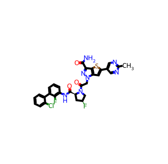 Cc1ncc(-c2cc3c(s2)c(C(N)=O)nn3CC(=O)N2C[C@H](F)C[C@H]2C(=O)Nc2cccc(-c3ccccc3Cl)c2F)cn1